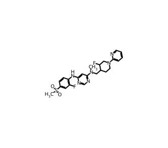 CN(CC1CCN(c2ccccn2)CC1F)c1cc(Nc2ccc(S(C)(=O)=O)cc2F)ncn1